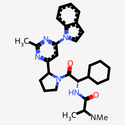 CNC(C)C(=O)N[C@H](C(=O)N1CCCC1c1cc(-n2ccc3ccccc32)nc(C)n1)C1CCCCC1